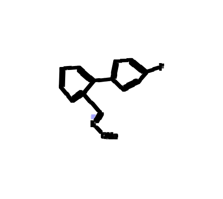 CO/N=C/c1ccccc1-c1ccc(F)cc1